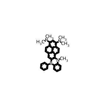 CN(C)c1cc(N(C)C)c2ccc3c4c(cc5ccc1c2c53)B(c1ccccc1)c1ccccc1N4C